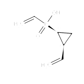 C=C[C@@H]1C[C@@H]1P(=O)(O)C=C